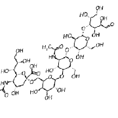 CC(=O)N[C@H]1[C@H](O[C@H]2[C@@H](O)[C@@H](CO)O[C@@H](O[C@@H]([C@H](O)[C@@H](O)C=O)[C@H](O)CO)[C@@H]2O)O[C@H](CO)[C@@H](O[C@@H]2OC(CO[C@]3(C(=O)O)C[C@H](O)[C@@H](NC(C)=O)[C@H]([C@H](O)[C@H](O)CO)O3)[C@H](O)[C@H](O)[C@H]2O)[C@@H]1O